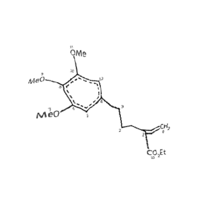 C=C(CCc1cc(OC)c(OC)c(OC)c1)C(=O)OCC